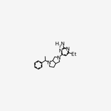 CCc1cc(N2CC3CCN(C(C)c4ccccc4)C3C2)nc(N)n1